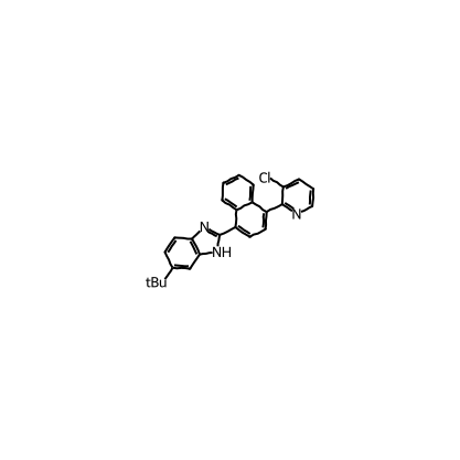 CC(C)(C)c1ccc2nc(-c3ccc(-c4ncccc4Cl)c4ccccc34)[nH]c2c1